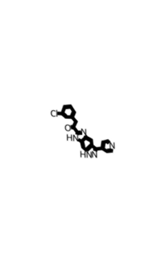 O=C(Cc1cccc(Cl)c1)c1nc2cc3c(-c4ccncc4)n[nH]c3cc2[nH]1